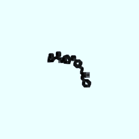 O=C(Nc1ccc(Oc2ccc(CCNCc3ccccc3)cc2)cc1)c1ccco1